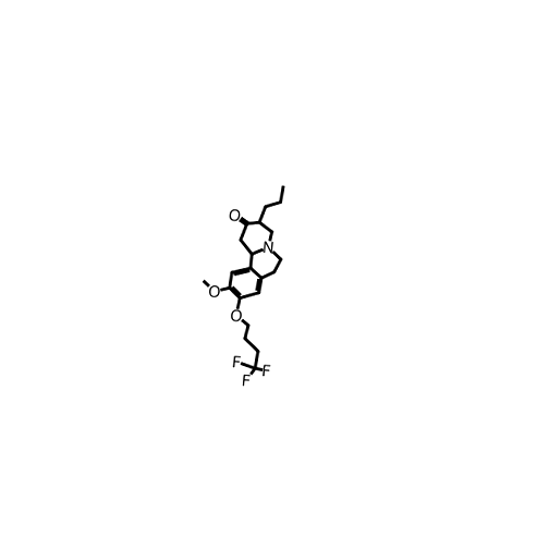 CCCC1CN2CCc3cc(OCCCC(F)(F)F)c(OC)cc3C2CC1=O